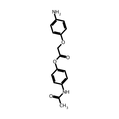 CC(=O)Nc1ccc(OC(=O)COc2ccc(N)cc2)cc1